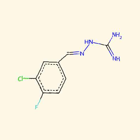 N=C(N)NN=Cc1ccc(F)c(Cl)c1